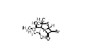 COC(=O)[C@]1(C(C)O)N2C(=O)C(Br)[C@H]2SC1(C)C